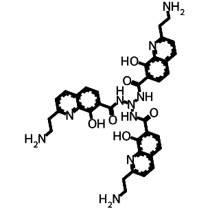 NCCc1ccc2ccc(C(=O)NN(NC(=O)c3ccc4ccc(CCN)nc4c3O)NC(=O)c3ccc4ccc(CCN)nc4c3O)c(O)c2n1